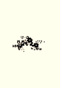 COc1ccc(OC)c(C(=O)C(C)=Cc2ccc(OC)c(NC(=O)C(N)CCCN(C(=N)N)[N+](=O)[O-])c2)c1